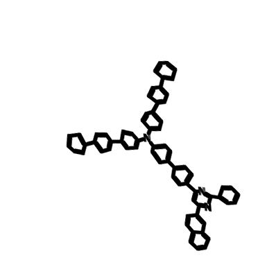 c1ccc(-c2ccc(-c3ccc(N(c4ccc(-c5ccc(-c6ccccc6)cc5)cc4)c4ccc(-c5ccc(-c6cc(-c7ccc8ccccc8c7)nc(-c7ccccc7)n6)cc5)cc4)cc3)cc2)cc1